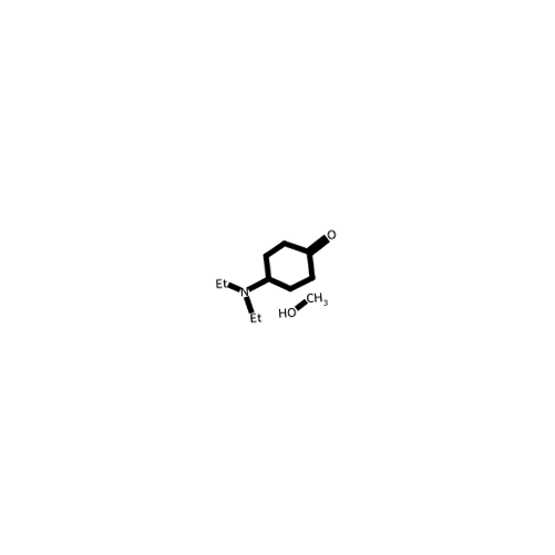 CCN(CC)C1CCC(=O)CC1.CO